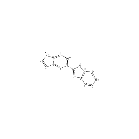 c1cc2cc(-c3cc4cc[nH]c4cn3)oc2cn1